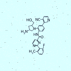 Cc1cccc(F)c1-c1nccc(C(=O)Nc2ccc(-c3cnccc3C#N)cc2N2CC(N)CC2CO)n1